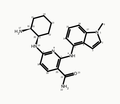 Cn1ccc2c(Nc3nc(N[C@@H]4CCCC[C@@H]4N)ccc3C(N)=O)cccc21